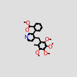 COC(=O)c1ccccc1-c1cnccc1Cc1c(C)c(OC)c(OC)c(OC)c1OC